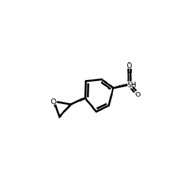 O=[SH](=O)c1ccc(C2CO2)cc1